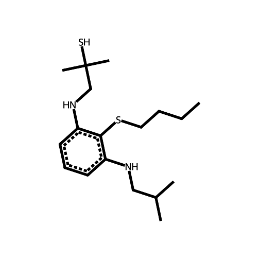 CCCCSc1c(NCC(C)C)cccc1NCC(C)(C)S